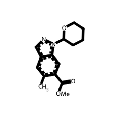 COC(=O)c1cc2c(cnn2C2CCCCO2)cc1C